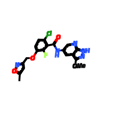 COc1n[nH]c2ncc(NC(=O)c3c(Cl)ccc(OCc4cc(C)on4)c3F)cc12